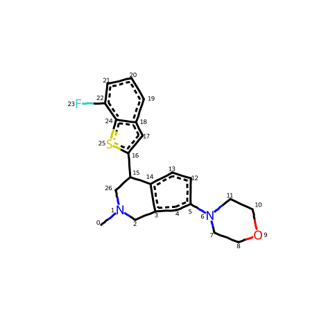 CN1Cc2cc(N3CCOCC3)ccc2C(c2cc3cccc(F)c3s2)C1